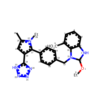 CCOC1Nc2cccc(C(=O)O)c2N1Cc1ccc(-c2c(-c3nnn[nH]3)cc(C)n2CC)cc1